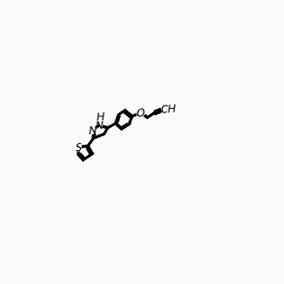 C#CCOc1ccc(C2CC(c3cccs3)=NN2)cc1